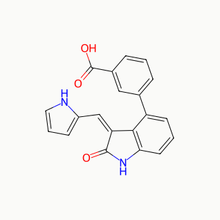 O=C1Nc2cccc(-c3cccc(C(=O)O)c3)c2C1=Cc1ccc[nH]1